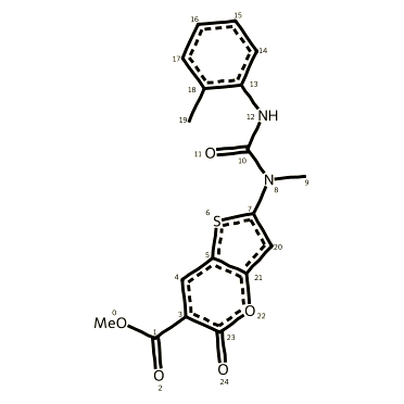 COC(=O)c1cc2sc(N(C)C(=O)Nc3ccccc3C)cc2oc1=O